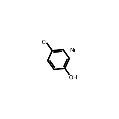 Oc1ccc(Cl)cc1.[Ni]